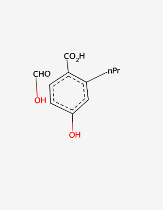 CCCc1cc(O)ccc1C(=O)O.O=CO